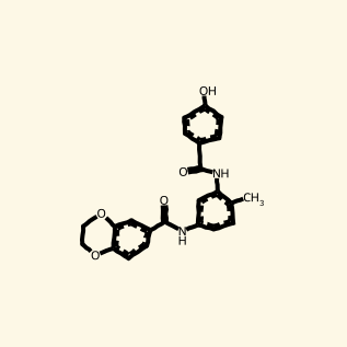 Cc1ccc(NC(=O)c2ccc3c(c2)OCCO3)cc1NC(=O)c1ccc(O)cc1